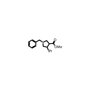 COC(=O)C1CN(Cc2ccccc2)CC1C(C)C